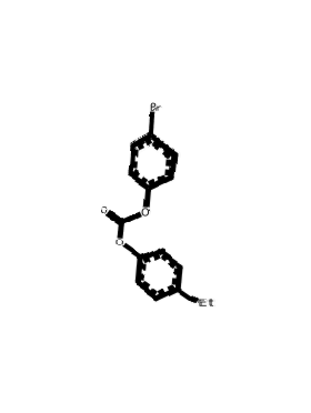 CCc1ccc(OC(=O)Oc2ccc(Br)cc2)cc1